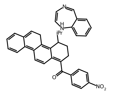 C1=CNc2ccccc2C=N1.CC(C)C1CCC(C(=O)c2ccc([N+](=O)[O-])cc2)=c2ccc3c(c21)CC=c1ccccc1=3